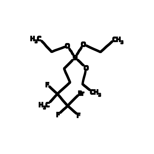 CCO[Si](CCC(C)(F)C(F)(F)Br)(OCC)OCC